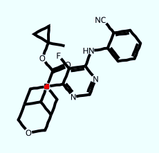 CC1(OC(=O)N2CC3COCC(C2)C3Oc2ncnc(Nc3ccccc3C#N)c2F)CC1